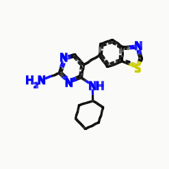 Nc1ncc(-c2ccc3ncsc3c2)c(NC2CCCCC2)n1